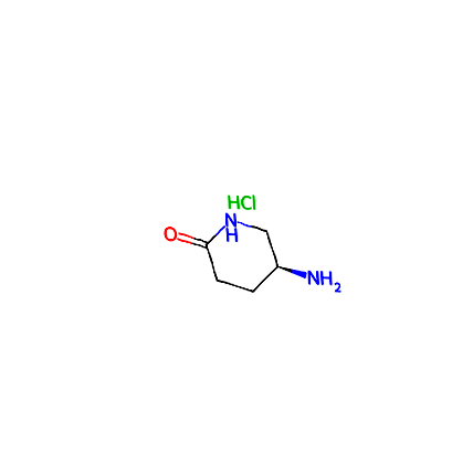 Cl.N[C@H]1CCC(=O)NC1